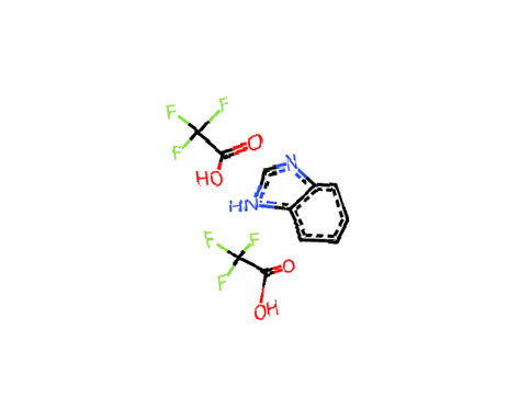 O=C(O)C(F)(F)F.O=C(O)C(F)(F)F.c1ccc2[nH]cnc2c1